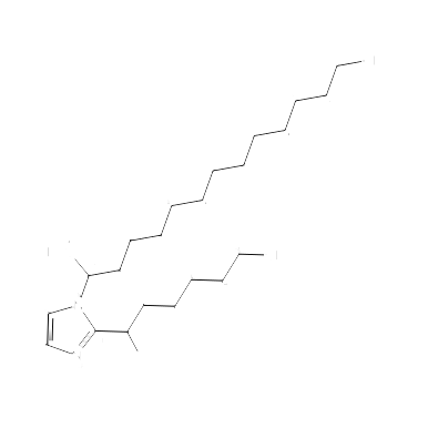 CCCCCCCCCCCCCC(C)n1ccnc1C(C)CCCCCC